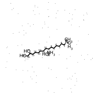 CN(C)CCCCCCCCCCCCCC(O)CO.Cl.N